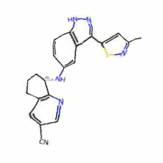 Cc1cc(-c2n[nH]c3ccc(N[C@H]4CCCc5cc(C#N)cnc54)cc23)sn1